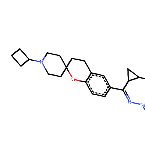 CC1CC1/C(=N\NC=O)c1ccc2c(c1)CCC1(CCN(C3CCC3)CC1)O2